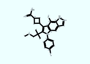 COCC(C)(C)c1c(C2CC(C(=O)O)C2)c2c(F)c3[nH]ncc3cc2n1-c1ccc(F)cc1